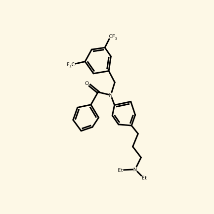 CCN(CC)CCCc1ccc(N(Cc2cc(C(F)(F)F)cc(C(F)(F)F)c2)C(=O)c2ccccc2)cc1